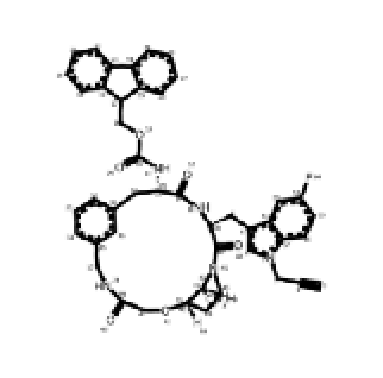 C#CCn1cc(C[C@@H]2NC(=O)[C@@H](NC(=O)OCC3c4ccccc4-c4ccccc43)Cc3cccc(c3)CNC(=O)CO[C@H]3CCN(C2=O)[C@@H]3C(=O)O)c2cc(F)ccc21